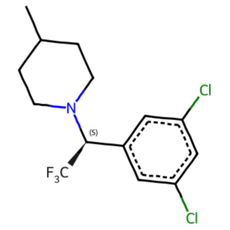 CC1CCN([C@@H](c2cc(Cl)cc(Cl)c2)C(F)(F)F)CC1